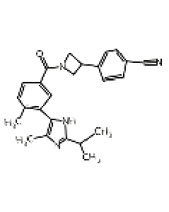 Cc1ccc(C(=O)N2CC(c3ccc(C#N)cc3)C2)cc1-c1[nH]c(C(C)C)nc1C